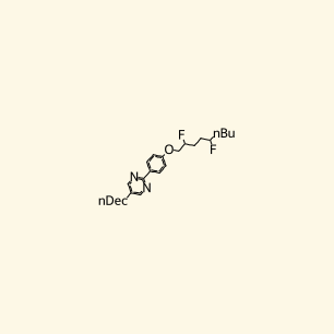 CCCCCCCCCCc1cnc(-c2ccc(OCC(F)CCC(F)CCCC)cc2)nc1